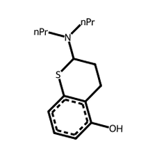 CCCN(CCC)C1CCc2c(O)cccc2S1